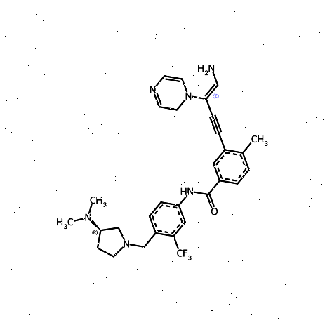 Cc1ccc(C(=O)Nc2ccc(CN3CC[C@@H](N(C)C)C3)c(C(F)(F)F)c2)cc1C#C/C(=C/N)N1C=CN=CC1